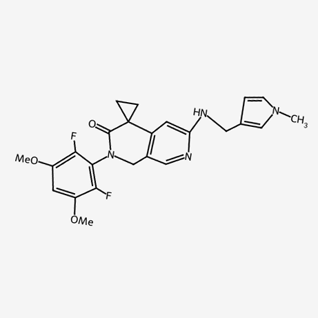 COc1cc(OC)c(F)c(N2Cc3cnc(NCc4ccn(C)c4)cc3C3(CC3)C2=O)c1F